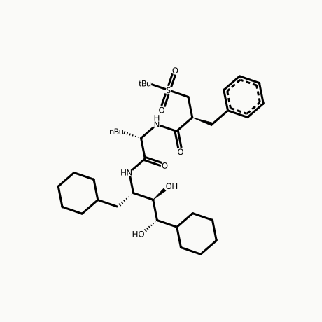 CCCC[C@H](NC(=O)[C@H](Cc1ccccc1)CS(=O)(=O)C(C)(C)C)C(=O)N[C@@H](CC1CCCCC1)[C@@H](O)[C@@H](O)C1CCCCC1